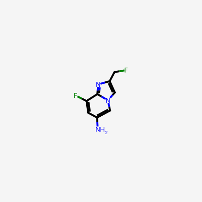 Nc1cc(F)c2nc(CF)cn2c1